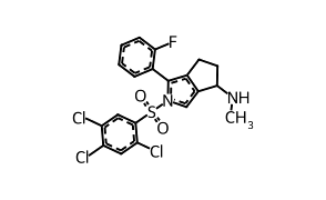 CNC1CCc2c1cn(S(=O)(=O)c1cc(Cl)c(Cl)cc1Cl)c2-c1ccccc1F